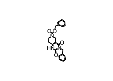 O=C(OCc1ccccc1)N1CCc2[nH]c(=O)n(Cc3ccccc3)c(=O)c2C1